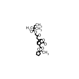 CCC1(OC(=O)C2C3CC4C(OC(=O)C42)C3CC(=O)COC(=O)C(C)(C)CC)CCCC1